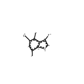 Cc1cc(Cl)c(C)c2c(F)coc12